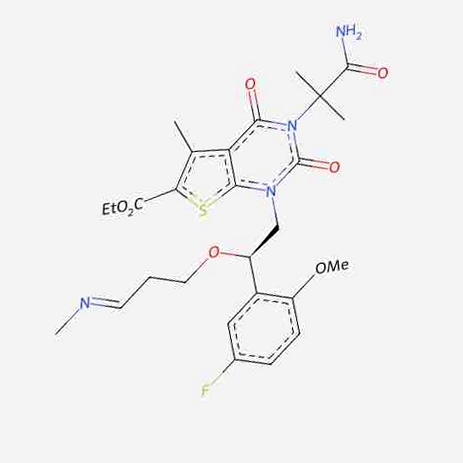 CCOC(=O)c1sc2c(c1C)c(=O)n(C(C)(C)C(N)=O)c(=O)n2C[C@H](OCC/C=N/C)c1cc(F)ccc1OC